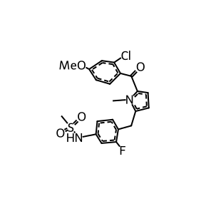 COc1ccc(C(=O)c2ccc(Cc3ccc(NS(C)(=O)=O)cc3F)n2C)c(Cl)c1